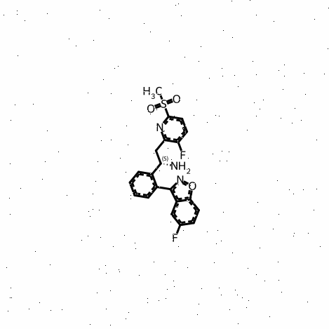 CS(=O)(=O)c1ccc(F)c(C[C@H](N)c2ccccc2-c2noc3ccc(F)cc23)n1